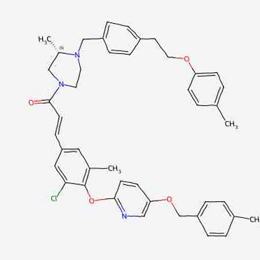 Cc1ccc(COc2ccc(Oc3c(C)cc(C=CC(=O)N4CCN(Cc5ccc(CCOc6ccc(C)cc6)cc5)[C@@H](C)C4)cc3Cl)nc2)cc1